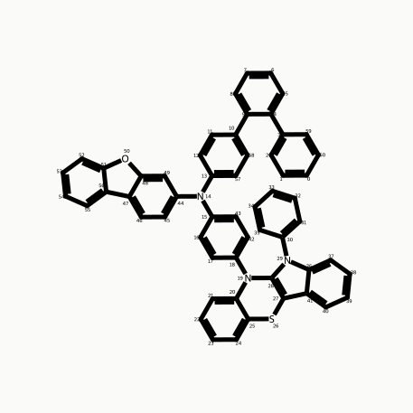 c1ccc(-c2ccccc2-c2ccc(N(c3ccc(N4c5ccccc5Sc5c4n(-c4ccccc4)c4ccccc54)cc3)c3ccc4c(c3)oc3ccccc34)cc2)cc1